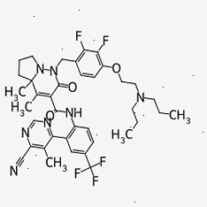 CCCN(CCC)CCOc1ccc(CN2C(=O)C(C(=O)Nc3ccc(C(F)(F)F)cc3-c3ncnc(C#N)c3C)=C(C)C3(C)CCCN23)c(F)c1F